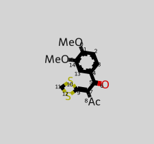 COc1ccc(C(=O)C(C(C)=O)=C2SCS2)cc1OC